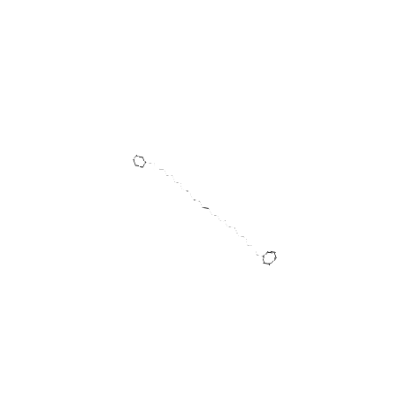 C(=CCCCCCCCCCOCc1ccccc1)CCCCCCCCCOCc1ccccc1